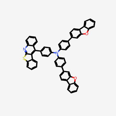 c1ccc2c(-c3ccc(N(c4ccc(-c5ccc6c(c5)oc5ccccc56)cc4)c4ccc(-c5ccc6c(c5)oc5ccccc56)cc4)cc3)c3c(nc2c1)sc1ccccc13